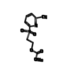 COC(=O)OCCS(=O)(=O)c1cccc(C#N)n1